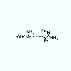 CCN=C(N)N(CC)CCCC[C@H](N)[C]=O